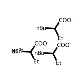 CCCCC(CC)C(=O)[O-].CCCCC(CC)C(=O)[O-].CCCCC(CC)C(=O)[O-].[Nd+3]